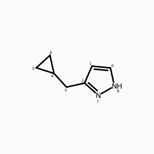 c1cc(CC2CC2)n[nH]1